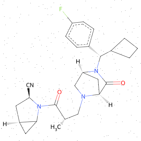 C[C@@H](CN1C[C@@H]2C[C@H]1C(=O)N2[C@H](c1ccc(F)cc1)C1CCC1)C(=O)N1C2C[C@H]2C[C@H]1C#N